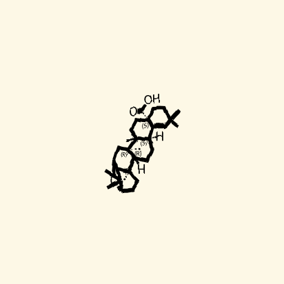 CC1(C)C=C2[C@H]3CC[C@@H]4[C@@]5(C)CCC6OC(C[C@@]4(C)[C@]3(C)CC[C@@]2(C(=O)O)CC1)C5C6(C)C